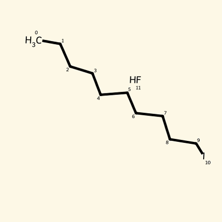 CCCCCCCCCCI.F